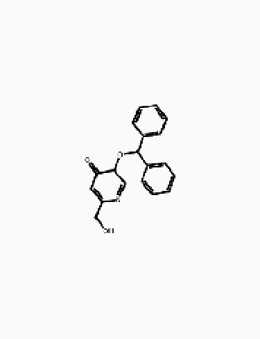 O=C1C=C(CO)N=CC1OC(c1ccccc1)c1ccccc1